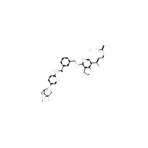 C=C(N)/N=C\C=C(/C)c1cnc(NCc2cccc(C(=O)Nc3ccc(N4C[C@H]5CC4CN5C)cn3)c2)c2c1OCC2